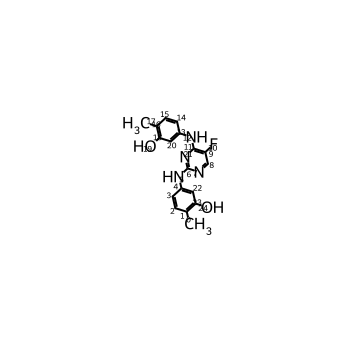 Cc1ccc(Nc2ncc(F)c(Nc3ccc(C)c(O)c3)n2)cc1O